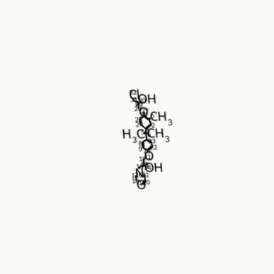 Cc1cc(C(C)(C)c2ccc(OC[C@H](O)CN3CCOCC3)cc2)ccc1OC[C@@H](O)CCl